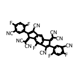 N#CC(C#N)=C1C(c2cc(C#N)c(F)cc2F)=C(C#N)c2c1cc1c(c2F)C(=C(C#N)C#N)C(c2cc(C#N)c(F)cc2F)=C1C#N